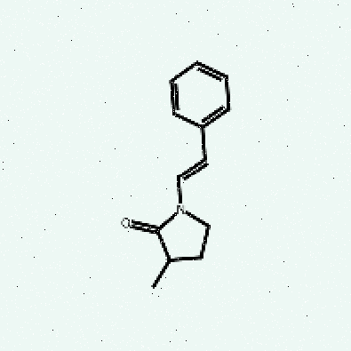 C[C]1CCN(C=Cc2ccccc2)C1=O